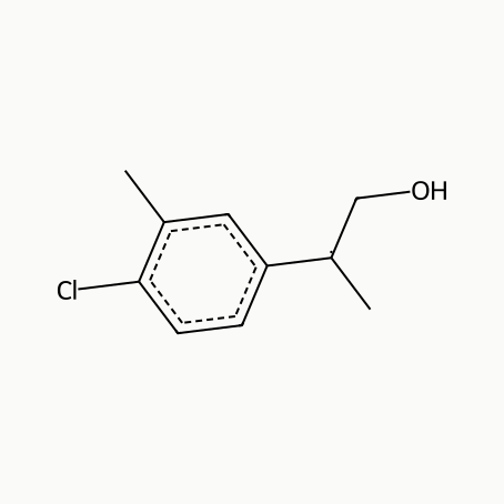 C[C](CO)c1ccc(Cl)c(C)c1